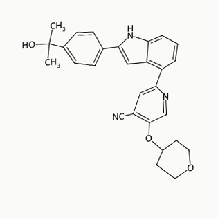 CC(C)(O)c1ccc(-c2cc3c(-c4cc(C#N)c(OC5CCOCC5)cn4)cccc3[nH]2)cc1